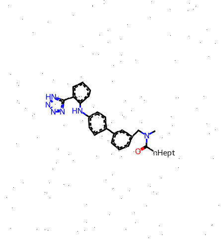 CCCCCCCC(=O)N(C)Cc1cccc(-c2ccc(Nc3ccccc3-c3nnn[nH]3)cc2)c1